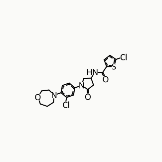 O=C(NC1CC(=O)N(c2ccc(N3CCCOCC3)c(Cl)c2)C1)c1ccc(Cl)s1